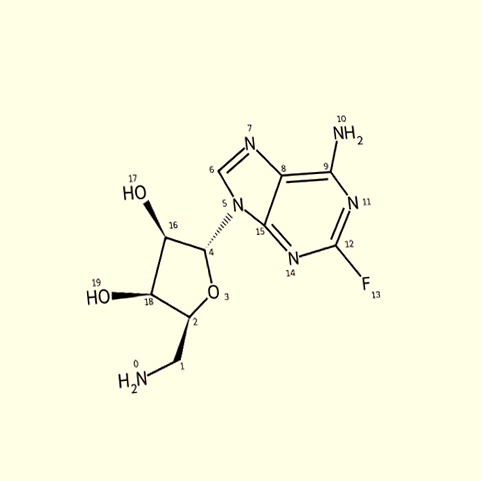 NC[C@@H]1O[C@@H](n2cnc3c(N)nc(F)nc32)[C@H](O)[C@@H]1O